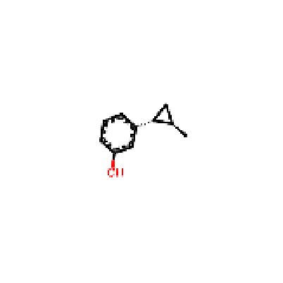 C[C@@H]1C[C@H]1c1cccc(O)c1